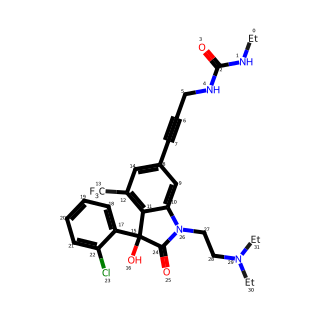 CCNC(=O)NCC#Cc1cc2c(c(C(F)(F)F)c1)C(O)(c1ccccc1Cl)C(=O)N2CCN(CC)CC